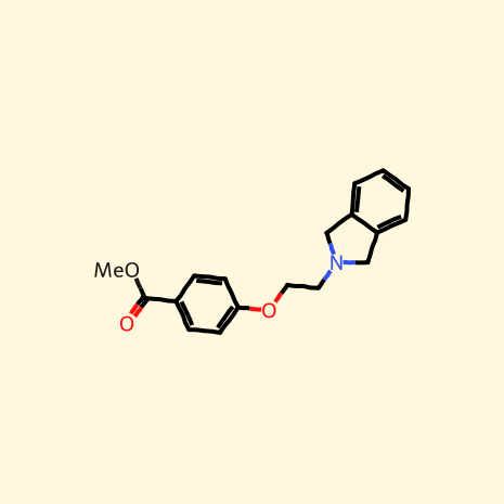 COC(=O)c1ccc(OCCN2Cc3ccccc3C2)cc1